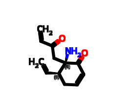 C=CC(=O)C[C@]1(N)C(=O)C=CC[C@H]1C=C